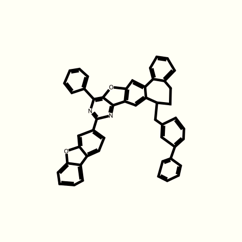 c1ccc(-c2cccc(CC3CCc4ccccc4-c4cc5oc6c(-c7ccccc7)nc(-c7ccc8c(c7)oc7ccccc78)nc6c5cc43)c2)cc1